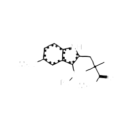 COC(=O)C(C)(C)Cc1[nH]c2ccc(OC)cc2c1SC(C)(C)C